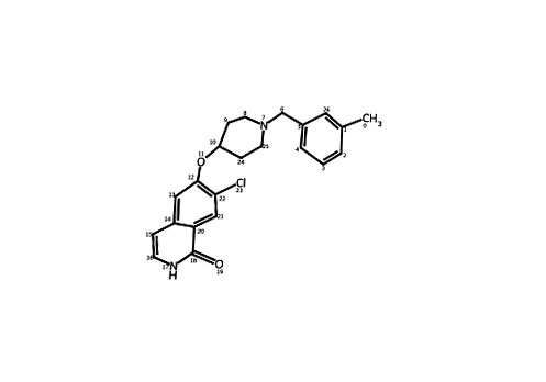 Cc1cccc(CN2CCC(Oc3cc4cc[nH]c(=O)c4cc3Cl)CC2)c1